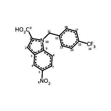 O=C(O)c1cc2cc([N+](=O)[O-])ccc2n1Cc1ccc(C(F)(F)F)cc1